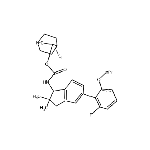 CCCOc1cccc(F)c1-c1ccc2c(c1)CC(C)(C)C2NC(=O)O[C@H]1CN2CCC1CC2